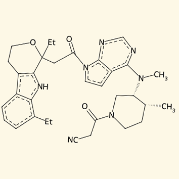 CCc1cccc2c3c([nH]c12)C(CC)(CC(=O)n1ccc2c(N(C)[C@H]4CN(C(=O)CC#N)CC[C@H]4C)ncnc21)OCC3